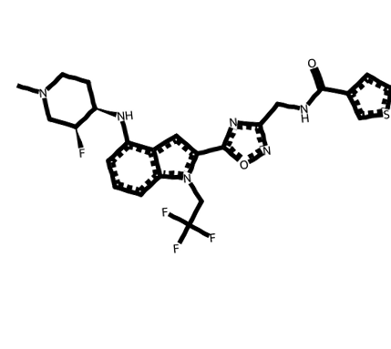 CN1CC[C@@H](Nc2cccc3c2cc(-c2nc(CNC(=O)c4ccsc4)no2)n3CC(F)(F)F)[C@@H](F)C1